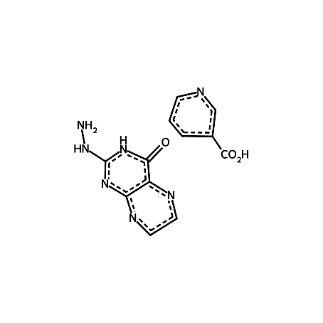 NNc1nc2nccnc2c(=O)[nH]1.O=C(O)c1cccnc1